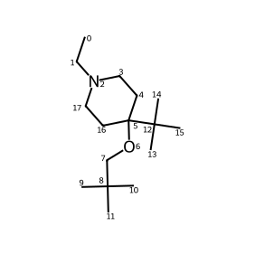 CCN1CCC(OCC(C)(C)C)(C(C)(C)C)CC1